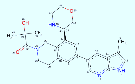 Cc1c[nH]c2ncc(-c3cc4c(c([C@@H]5COCCN5)c3)CN(C(=O)C(C)(O)C(F)(F)F)CC4)cc12